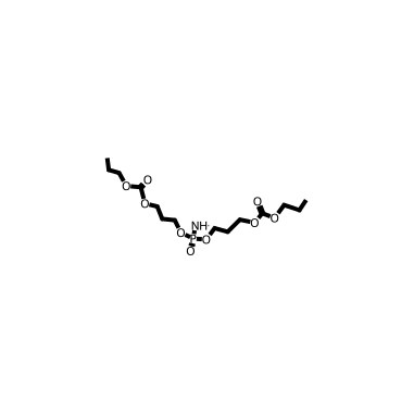 CCCOC(=O)OCCCOP([NH])(=O)OCCCOC(=O)OCCC